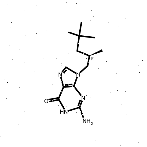 C[C@@H](Cn1cnc2c(=O)[nH]c(N)nc21)CC(C)(C)C